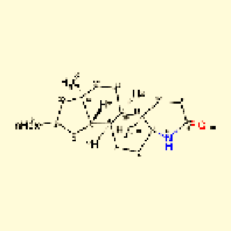 CCCCCCC1C[C@H]2[C@@H]3CCC4NC(=O)CC[C@]4(C)[C@@H]3CC[C@]2(C)C1